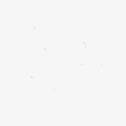 CC(C)(C)OC=O.CCOC(=O)c1cc(Cl)c(CN2CCNCC2)cc1N